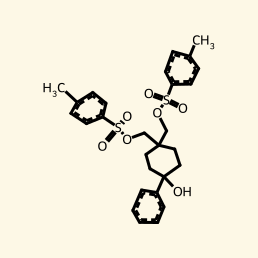 Cc1ccc(S(=O)(=O)OCC2(COS(=O)(=O)c3ccc(C)cc3)CCC(O)(c3ccccc3)CC2)cc1